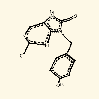 O=c1[nH]c2cnc(Cl)nc2n1Cc1ccc(O)cc1